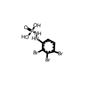 O=P(O)(O)NNc1ccc(Br)c(Br)c1Br